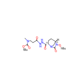 CCCCON1C(=O)N2C[C@@H]1CC[C@H]2C(=O)NNC(=O)CCN(C)C(=O)OC(C)(C)C